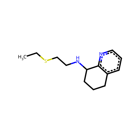 CCSCCNC1CCCc2cccnc21